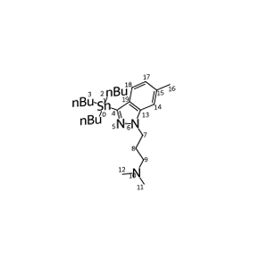 CCC[CH2][Sn]([CH2]CCC)([CH2]CCC)[c]1nn(CCCN(C)C)c2cc(C)ccc12